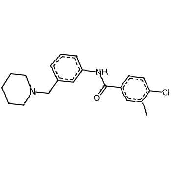 Cc1cc(C(=O)Nc2cccc(CN3CCCCC3)c2)ccc1Cl